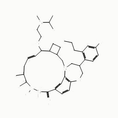 CCCc1cc(Cl)ccc1C1COc2ccc3cc2N(C1)CC1CCC1C(OCCN(C)C(C)C)/C=C/CC(C)C(C)[S+]([O-])NC3=O